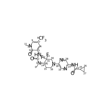 CN(C(=O)Nc1cc(C(F)(F)F)cn(C)c1=O)[C@@H]1CCN(c2cnc(NC(=O)C3CC3)cn2)CC1(F)F